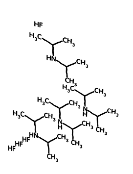 CC(C)NC(C)C.CC(C)NC(C)C.CC(C)NC(C)C.CC(C)NC(C)C.F.F.F.F